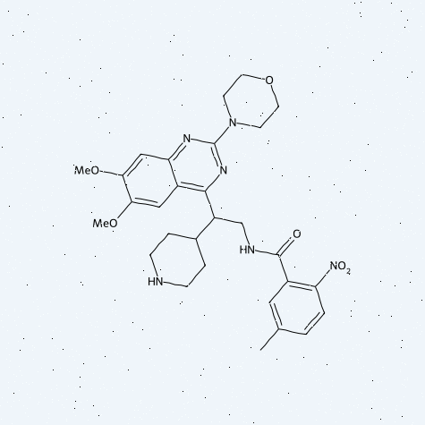 COc1cc2nc(N3CCOCC3)nc(C(CNC(=O)c3cc(C)ccc3[N+](=O)[O-])C3CCNCC3)c2cc1OC